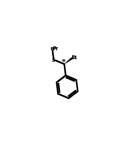 CCCS[C@H](CC)c1ccccc1